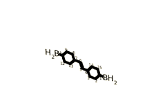 BC1CCC(C=CC2CCC(B)CC2)CC1